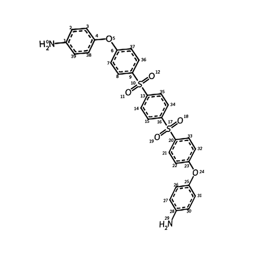 Nc1ccc(Oc2ccc(S(=O)(=O)c3ccc(S(=O)(=O)c4ccc(Oc5ccc(N)cc5)cc4)cc3)cc2)cc1